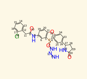 N=NNOSc1cc(NC(=O)Cc2ccccc2Cl)ccc1Oc1ccc(C2CCC(=O)N2)cc1